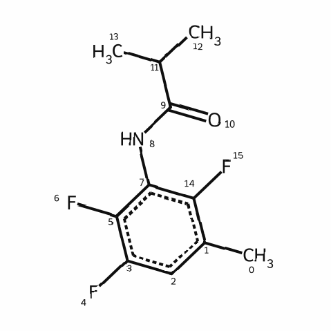 Cc1cc(F)c(F)c(NC(=O)C(C)C)c1F